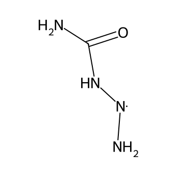 N[N]NC(N)=O